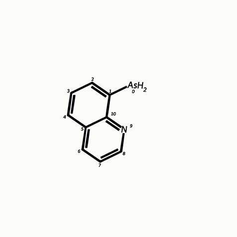 [AsH2]c1cccc2cccnc12